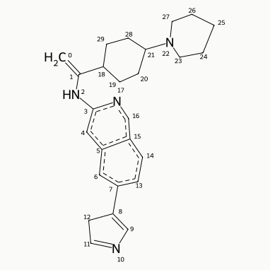 C=C(Nc1cc2cc(C3=CN=CC3)ccc2cn1)C1CCC(N2CCCCC2)CC1